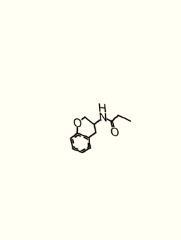 CCC(=O)NC1COc2ccccc2C1